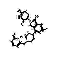 Cn1c(CN2CCC(c3cc(F)cc4c3CN(C3CCC(=O)NC3=O)C4=O)CC2)cccc1=O